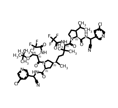 CC(C)C1CCN(C(=O)[C@@H](NC(=O)C(F)(F)F)C(C)(C)CCC(C)[C@@H]2C[C@@H](C(=O)NC(C#N)c3cncc(Cl)c3)N(C(=O)[C@@H](NC(=O)C(F)(F)F)[C@@H](C)OC(C)(C)C)C2)[C@@H]1C(=O)NC(C#N)c1cncc(Cl)c1